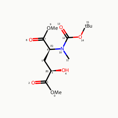 COC(=O)[C@H](O)C[C@@H](C(=O)OC)N(C)C(=O)OC(C)(C)C